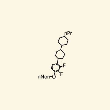 CCCCCCCCCOc1ccc(C2CCC(C3CCC(CCC)CC3)CC2)c(F)c1F